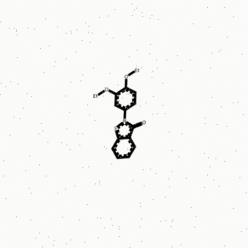 CCOc1ccc(-n2sc3ccccc3c2=O)cc1OCC